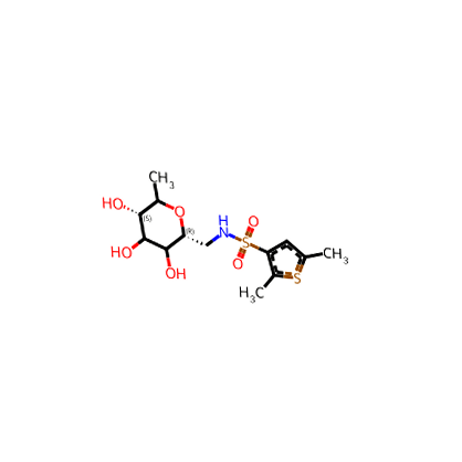 Cc1cc(S(=O)(=O)NC[C@H]2OC(C)[C@@H](O)C(O)C2O)c(C)s1